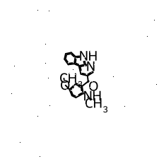 CNc1ccc(OC)cc1C(=O)c1cnc2[nH]c3ccccc3c2c1